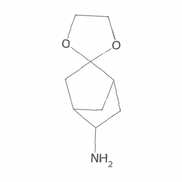 NC1CC2CC1CC21OCCO1